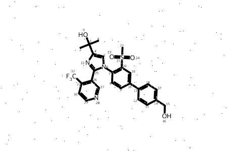 CC(C)(O)c1cn(-c2ccc(-c3ccc(CO)cc3)cc2S(C)(=O)=O)c(-c2cnccc2C(F)(F)F)n1